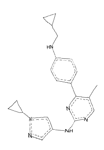 Cc1cnc(Nc2cnn(C3CC3)c2)nc1-c1ccc(NCC2CC2)cc1